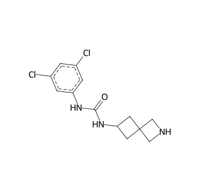 O=C(Nc1cc(Cl)cc(Cl)c1)NC1CC2(CNC2)C1